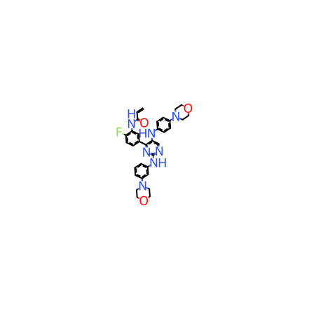 C=CC(=O)Nc1cc(-c2nc(Nc3cccc(N4CCOCC4)c3)ncc2Nc2ccc(N3CCOCC3)cc2)ccc1F